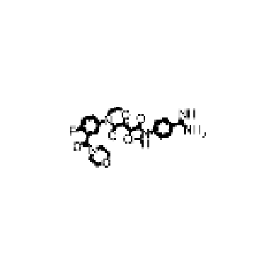 N=C(N)c1ccc(NC(=O)[C@H](O)[C@H]2OCCN(c3ccc(F)c(C(=O)N4CCOCC4)c3)C2=O)cc1